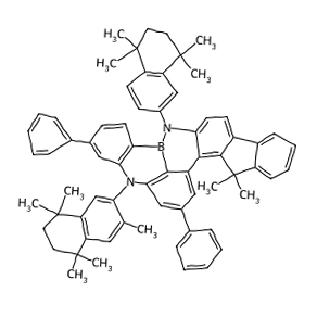 Cc1cc2c(cc1N1c3cc(-c4ccccc4)ccc3B3c4c(cc(-c5ccccc5)cc41)-c1c(ccc4c1C(C)(C)c1ccccc1-4)N3c1ccc3c(c1)C(C)(C)CCC3(C)C)C(C)(C)CCC2(C)C